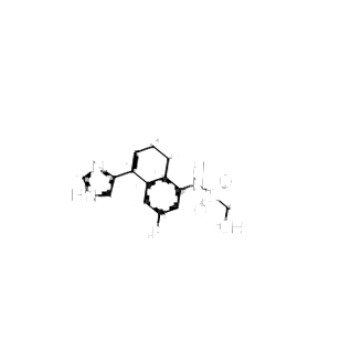 CCS(=O)(=O)Nc1cc(F)cc2c1CCC=C2c1c[nH]cn1